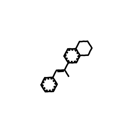 C/C(=C\c1ccccc1)c1ccc2c(c1)CCCC2